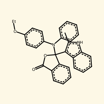 CCOc1ccc(N(c2ccccc2)C2(c3c(C)[nH]c4ccccc34)OC(=O)c3ccccc32)cc1